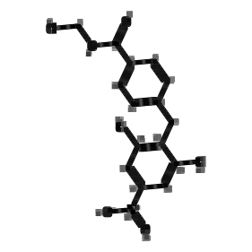 O=C(OCCl)c1ccc(Cc2c(Cl)cc([N+](=O)[O-])cc2Cl)cc1